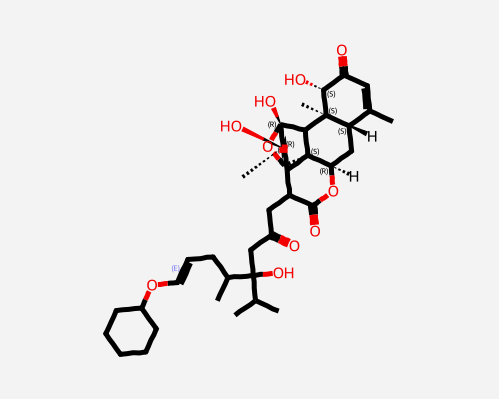 CC1=CC(=O)[C@@H](O)[C@]2(C)C3[C@]45CO[C@@]3(O)[C@H](O)[C@H](C)C4C(CC(=O)CC(O)(C(C)C)C(C)C/C=C/OC3CCCCC3)C(=O)O[C@@H]5C[C@@H]12